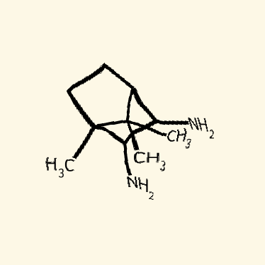 CC1(C)C2CCC1(C)C(N)C2N